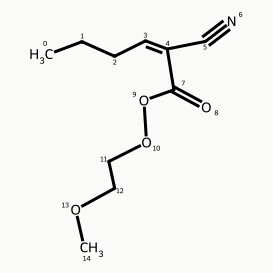 CCCC=C(C#N)C(=O)OOCCOC